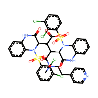 CN(CCc1ccncc1)C(=O)C(C(C(=O)O)[C@@H]1C(=O)Nc2ccccc2N1S(=O)(=O)c1cccc(Cl)c1Cl)[C@@H]1C(=O)Nc2ccccc2N1S(=O)(=O)c1cccc(Cl)c1Cl